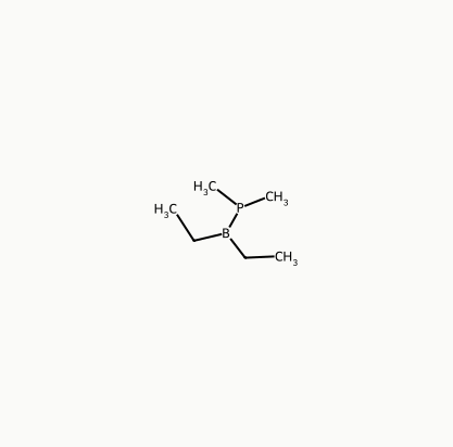 CCB(CC)P(C)C